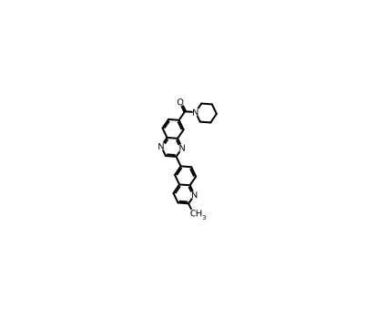 Cc1ccc2cc(-c3cnc4ccc(C(=O)N5CCCCC5)cc4n3)ccc2n1